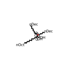 CCCCCCCCC=CCCCCCCCC(=O)C(OC(=O)CCCCCCCCCCCCCCCCC)(C(=O)CCCCCCCCCCCCCCC)C(O)CO